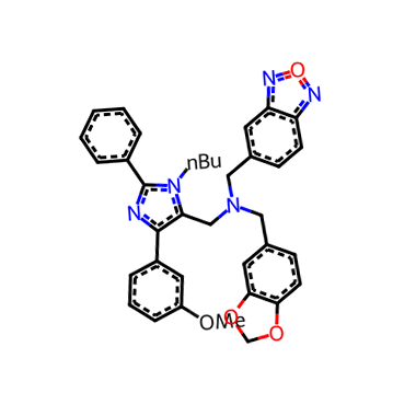 CCCCn1c(-c2ccccc2)nc(-c2cccc(OC)c2)c1CN(Cc1ccc2c(c1)OCO2)Cc1ccc2nonc2c1